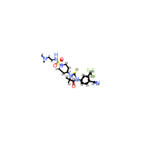 CN(C)CCNS(=O)(=O)N1CCC(N2C(=S)N(c3ccc(C#N)c(C(F)(F)F)c3)C(=O)C2(C)C)CC1